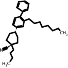 CCCCCCCCc1cc([C@H]2CC[C@@](C#N)(CCCC)CC2)ccc1-c1ccccc1